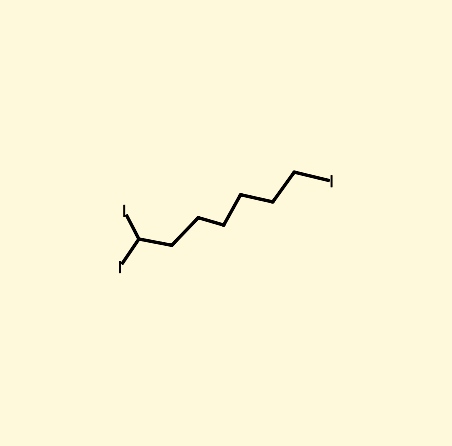 ICCCCCCC(I)I